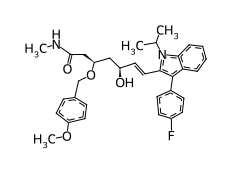 CNC(=O)C[C@@H](C[C@H](O)/C=C/c1c(-c2ccc(F)cc2)c2ccccc2n1C(C)C)OCc1ccc(OC)cc1